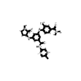 Cc1cnc(NC(=O)c2cc(Oc3ccc(C(=O)N(C)C)cc3Cl)cc(OC3CCN(C)C3=O)c2)cn1